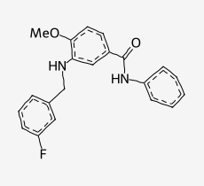 COc1ccc(C(=O)Nc2ccccc2)cc1NCc1cccc(F)c1